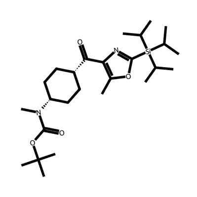 Cc1oc([Si](C(C)C)(C(C)C)C(C)C)nc1C(=O)[C@H]1CC[C@@H](N(C)C(=O)OC(C)(C)C)CC1